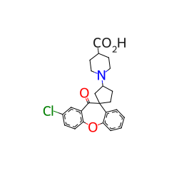 O=C(O)C1CCN(C2CCC3(C2)C(=O)c2cc(Cl)ccc2Oc2ccccc23)CC1